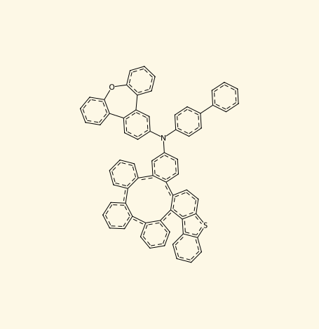 c1ccc(-c2ccc(N(c3ccc4c(c3)-c3ccccc3Oc3ccccc3-4)c3ccc4c(c3)c3ccccc3c3ccccc3c3ccccc3c3c4ccc4sc5ccccc5c43)cc2)cc1